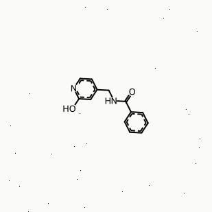 O=C(NCc1ccnc(O)c1)c1ccccc1